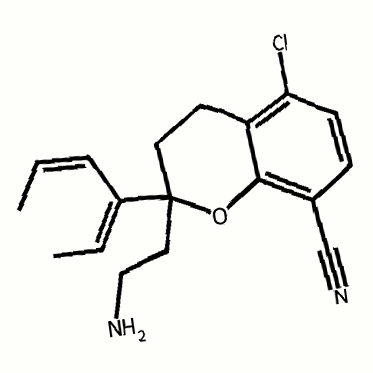 C/C=C\C(=C/C)C1(CCN)CCc2c(Cl)ccc(C#N)c2O1